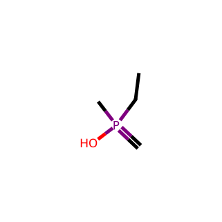 C=P(C)(O)CC